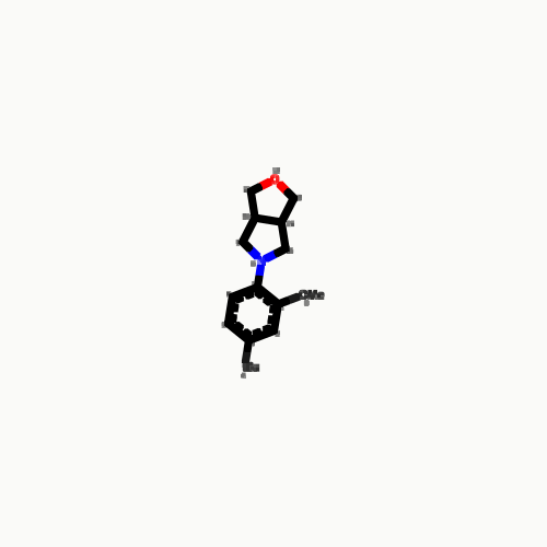 COc1cc(C(C)(C)C)ccc1N1CC2COCC2C1